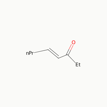 [CH2]CC(=O)/C=C/CCC